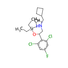 CC[Si](CC)(CC)OC(CNCC1CCC1)c1c(Cl)cc(F)cc1Cl